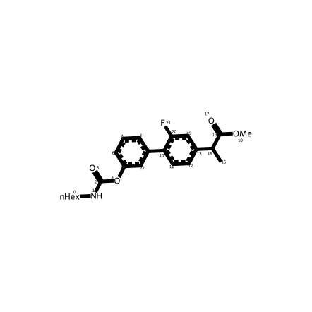 CCCCCCNC(=O)Oc1cccc(-c2ccc(C(C)C(=O)OC)cc2F)c1